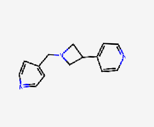 c1cc(CN2CC(c3ccncc3)C2)ccn1